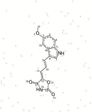 COc1ccc2[nH]cc(C=CC=C3OC(=O)NC3=O)c2c1